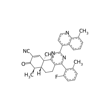 Cc1cccc(F)c1-c1nc(-c2ccnc3c(C)cccc23)nc2c1CC[C@@H]1[C@@H](C)C(=O)C(C#N)=C[C@@]21C